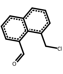 O=Cc1cccc2cccc(CCl)c12